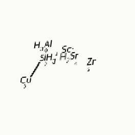 [AlH3].[Sc].[SiH3][Cu].[SrH2].[Zr]